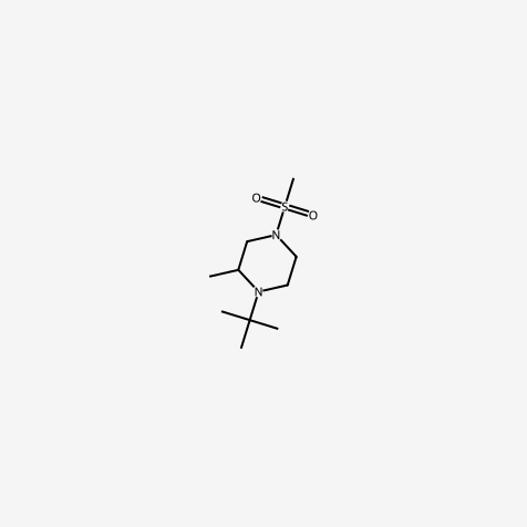 CC1CN(S(C)(=O)=O)CCN1C(C)(C)C